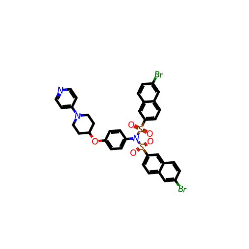 O=S(=O)(c1ccc2cc(Br)ccc2c1)N(c1ccc(OC2CCN(c3ccncc3)CC2)cc1)S(=O)(=O)c1ccc2cc(Br)ccc2c1